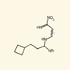 CCCC(CCC1CCC1)N/C=C\C(=N)[N+](=O)[O-]